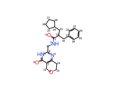 O=C(NCc1nc2c(c(=O)[nH]1)COCC2)C(Cc1ccccc1)CC1CCCC1